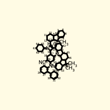 CC1(C)C2=CCCC=C2C2CCCC(C3=CC(C4CC(C#N)C(NC5CCCCC5C5CC=CCC5)CC4N4C5C=CCCC5C5CCC6C(C7C=CCCC7C6(C)C)C54)N3C3CCCCC3)C21